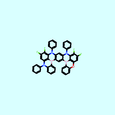 Fc1cc2c3c(c1F)N(c1ccccc1)c1cc4c(cc1B3c1ccccc1O2)B1c2ccccc2N(c2ccccc2)c2cc(F)c(F)c(c21)N4c1ccccc1